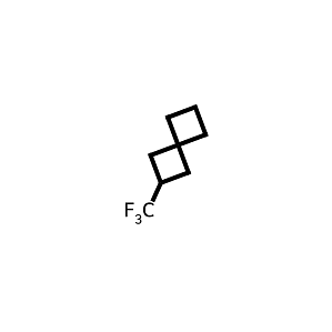 FC(F)(F)C1CC2(CCC2)C1